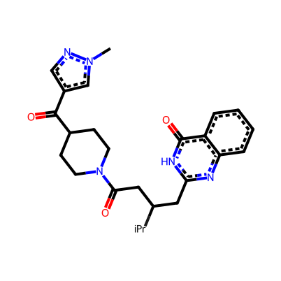 CC(C)C(CC(=O)N1CCC(C(=O)c2cnn(C)c2)CC1)Cc1nc2ccccc2c(=O)[nH]1